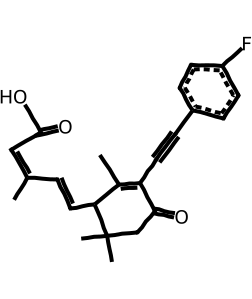 CC1=C(C#Cc2ccc(F)cc2)C(=O)CC(C)(C)C1/C=C/C(C)=C\C(=O)O